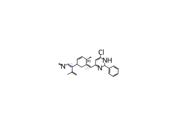 C=N/C=C(\C(=C)C)C1C=C[C@@H](C)/C(=C\C2=NC(c3ccccc3)NC(Cl)=C2)C1